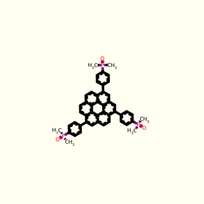 CP(C)(=O)c1ccc(-c2cc3ccc4c(-c5ccc(P(C)(C)=O)cc5)cc5cc(-c6ccc(P(C)(C)=O)cc6)c6ccc7ccc2c2c7c6c5c4c32)cc1